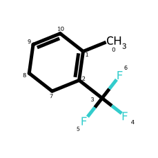 CC1=C(C(F)(F)F)CCC=C1